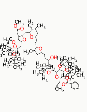 C=CC[C@@H]1O[C@@H](C(/C=C/C(O)CCC2CC(=C)[C@H](CCC3CC(C)C(=C)C(C[C@@H]4O[C@H](CC(CO[Si](C)(C)C(C)(C)C)O[Si](C)(C)C(C)(C)C)[C@H](OC)C4CC(=O)OC)O3)O2)O[Si](C)(C)C(C)(C)C)C(O[Si](C)(C)C(C)(C)C)C(O[Si](C)(C)C(C)(C)C)C1OC(=O)c1ccccc1